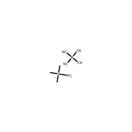 C[Si](C)(C)[NH3+].N#C[B-](C#N)(C#N)C#N